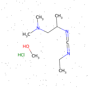 CCN=C=NC(C)CN(C)C.CO.Cl